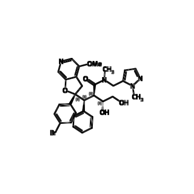 COc1cncc2c1C[C@](c1ccc(Br)cc1)([C@H](c1ccccc1)[C@@H](C(=O)N(C)Cc1ccnn1C)[C@@H](O)CO)O2